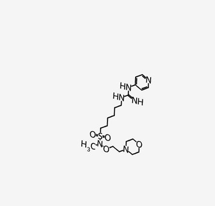 CN(OCCN1CCOCC1)S(=O)(=O)CCCCCCNC(=N)Nc1ccncc1